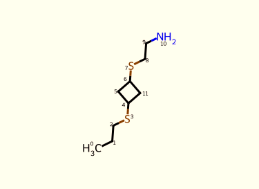 CCCSC1CC(SCCN)C1